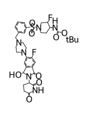 CC(C)(C)OC(=O)N[C@H]1CCN(S(=O)(=O)c2cccc(CN3CCN(c4cc5c(cc4F)C(=O)N(C4CCC(=O)NC4=O)C5O)CC3)c2)C[C@H]1F